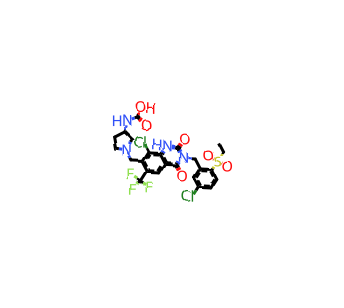 CCS(=O)(=O)c1ccc(Cl)cc1Cn1c(=O)[nH]c2c(Cl)c(CN3CC[C@@H](NC(=O)O)C3)c(C(F)(F)F)cc2c1=O